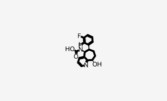 O=C(O)N[C@@H]1c2cccnc2[C@@H](O)CC[C@@H]1c1cccc(F)c1F